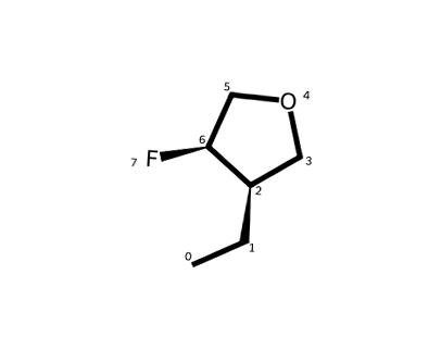 CC[C@@H]1COC[C@@H]1F